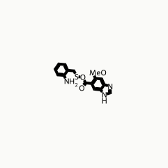 COc1cc2nc[nH]c2cc1C(=O)OSCc1ccccc1N